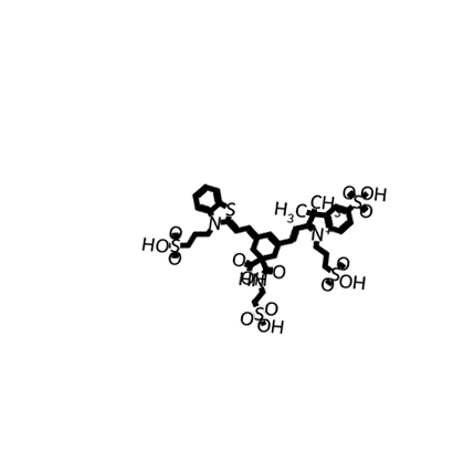 CC1(C)C(/C=C/C2=CC(=C/C=C3\Sc4ccccc4N3CCCS(=O)(=O)O)/CC(C(=O)O)(C(=O)NCCS(=O)(=O)O)C2)=[N+](CCCS(=O)(=O)O)c2ccc(S(=O)(=O)O)cc21